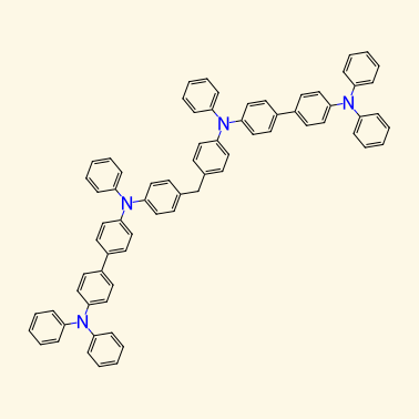 c1ccc(N(c2ccccc2)c2ccc(-c3ccc(N(c4ccccc4)c4ccc(Cc5ccc(N(c6ccccc6)c6ccc(-c7ccc(N(c8ccccc8)c8ccccc8)cc7)cc6)cc5)cc4)cc3)cc2)cc1